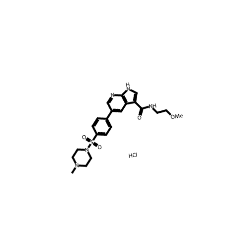 COCCNC(=O)c1c[nH]c2ncc(-c3ccc(S(=O)(=O)N4CCN(C)CC4)cc3)cc12.Cl